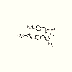 CCCCCNCc1ccc(CN)cc1.Cc1cc(C)n(Cc2ccc(Cn3cc(C(=O)O)cn3)cc2)n1